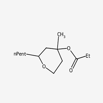 CCCCCC1CC(C)(OC(=O)CC)CCO1